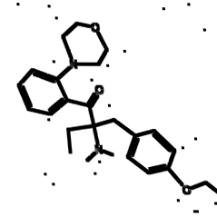 CCOc1ccc(CC(CC)(C(=O)c2ccccc2N2CCOCC2)N(C)C)cc1